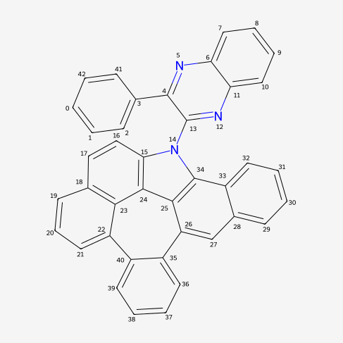 c1ccc(-c2nc3ccccc3nc2-n2c3ccc4cccc5c4c3c3c(cc4ccccc4c32)-c2ccccc2-5)cc1